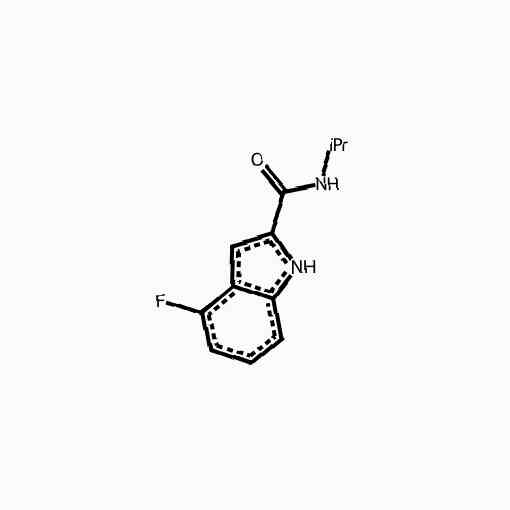 CC(C)NC(=O)c1cc2c(F)cccc2[nH]1